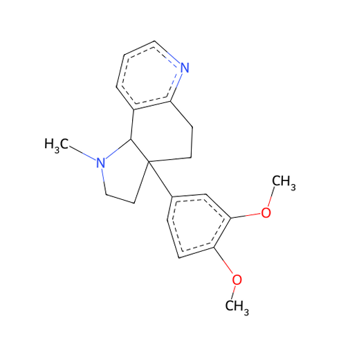 COc1ccc(C23CCc4ncccc4C2N(C)CC3)cc1OC